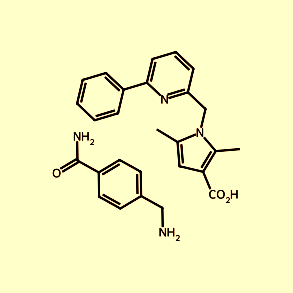 Cc1cc(C(=O)O)c(C)n1Cc1cccc(-c2ccccc2)n1.NCc1ccc(C(N)=O)cc1